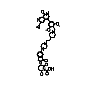 COc1cc(-c2cn(C)c(=O)c3cnc(C4CC4)cc23)cc(OC)c1CN1CCC(CCN2CCN(c3ccc4c(c3)C(=O)N(C3CCC(=O)N(C(=O)O)C3=O)C4)CC2)CC1